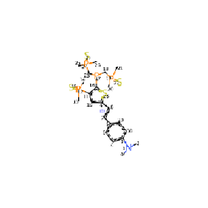 CN(C)c1ccc(/C=C/c2cc(P(C)(C)=S)c(P(CP(C)(C)=S)CP(C)(C)=S)s2)cc1